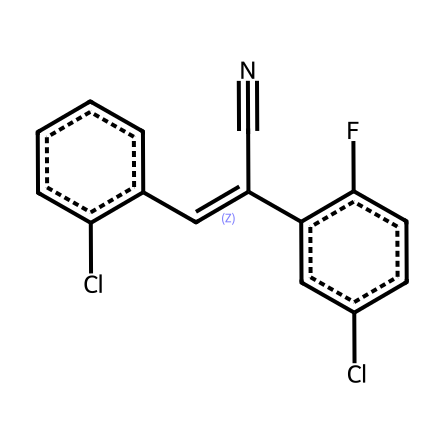 N#C/C(=C\c1ccccc1Cl)c1cc(Cl)ccc1F